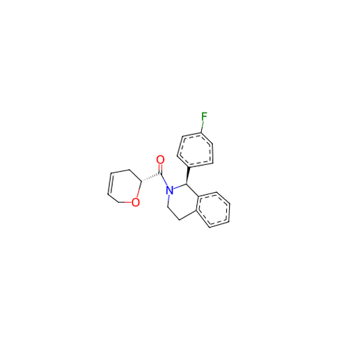 O=C([C@H]1CC=CCO1)N1CCc2ccccc2[C@@H]1c1ccc(F)cc1